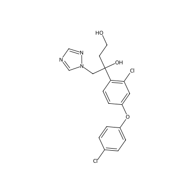 OCCC(O)(Cn1cncn1)c1ccc(Oc2ccc(Cl)cc2)cc1Cl